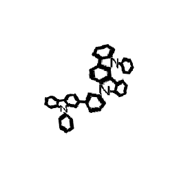 c1ccc(-n2c3ccccc3c3ccc(-c4cccc(-n5c6ccccc6c6c5ccc5c7ccccc7n(-c7ccccc7)c56)c4)cc32)cc1